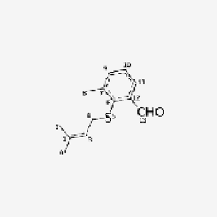 CC(C)=CCSc1c(C)cccc1C=O